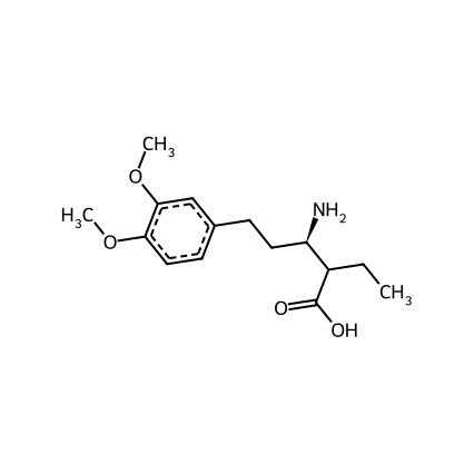 CCC(C(=O)O)[C@H](N)CCc1ccc(OC)c(OC)c1